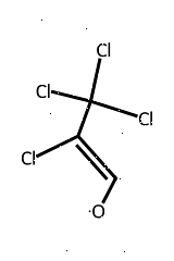 [O]C=C(Cl)C(Cl)(Cl)Cl